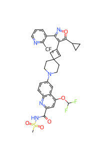 CS(=O)(=O)NC(=O)c1cc(OC(F)F)c2cc(N3CCC4(C=C(c5c(-c6cccnc6C(F)(F)F)noc5C5CC5)C4)CC3)ccc2n1